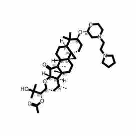 CC(=O)O[C@@H]([C@H]1C[C@@H](C)[C@H]2[C@H](O1)C(=O)[C@@]1(C)[C@@H]3CC[C@H]4C(C)(C)[C@@H](O[C@H]5CN(CCN6CCCC6)CCO5)CC[C@@]45C[C@@]35CC[C@]21C)C(C)(C)O